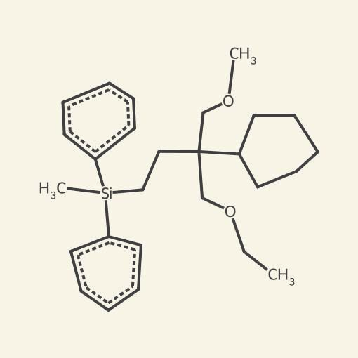 CCOCC(CC[Si](C)(c1ccccc1)c1ccccc1)(COC)C1CCCCC1